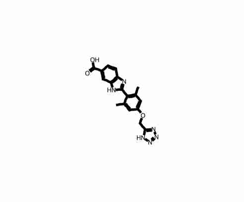 Cc1cc(OCc2nnn[nH]2)cc(C)c1-c1nc2ccc(C(=O)O)cc2[nH]1